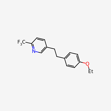 CCOc1ccc(CCc2ccc(C(F)(F)F)nc2)cc1